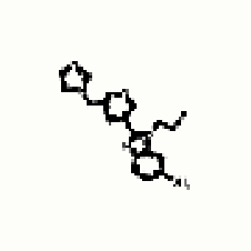 Bc1ccc2nc(-c3cncc(Cn4ccnc4)c3)n(CCF)c2c1